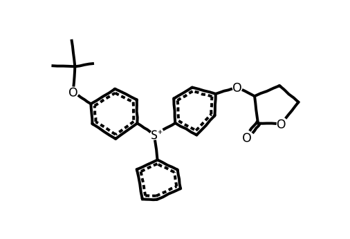 CC(C)(C)Oc1ccc([S+](c2ccccc2)c2ccc(OC3CCOC3=O)cc2)cc1